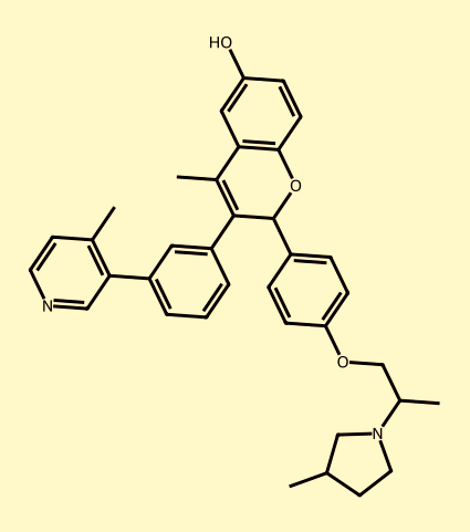 CC1=C(c2cccc(-c3cnccc3C)c2)C(c2ccc(OCC(C)N3CCC(C)C3)cc2)Oc2ccc(O)cc21